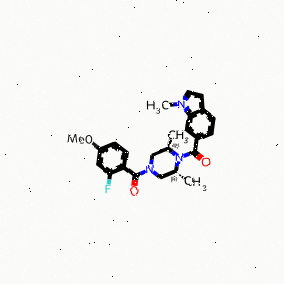 COc1ccc(C(=O)N2C[C@@H](C)N(C(=O)c3ccc4ccn(C)c4c3)[C@H](C)C2)c(F)c1